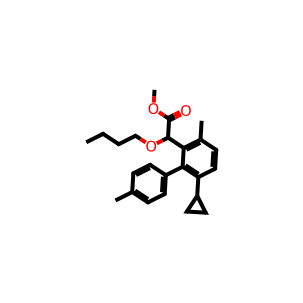 CCCCOC(C(=O)OC)c1c(C)ccc(C2CC2)c1-c1ccc(C)cc1